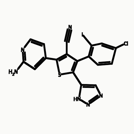 N#Cc1c(-c2ccnc(N)c2)sc(-c2cnn[nH]2)c1-c1ccc(Cl)cc1I